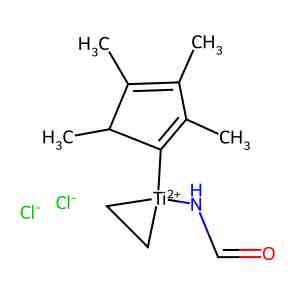 CC1=C(C)C(C)[C]([Ti+2]2([NH]C=O)[CH2][CH2]2)=C1C.[Cl-].[Cl-]